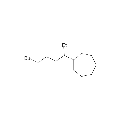 CCC(C)CCCC(CC)C1CCCCCC1